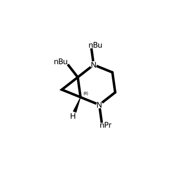 CCCCN1CCN(CCC)[C@@H]2CC21CCCC